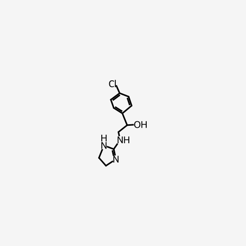 OC(CNC1=NCCN1)c1ccc(Cl)cc1